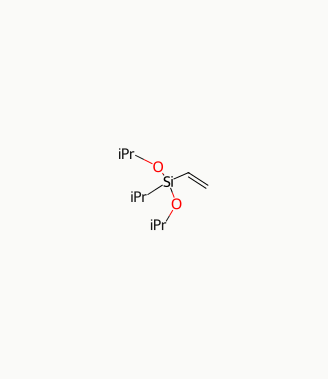 C=C[Si](OC(C)C)(OC(C)C)C(C)C